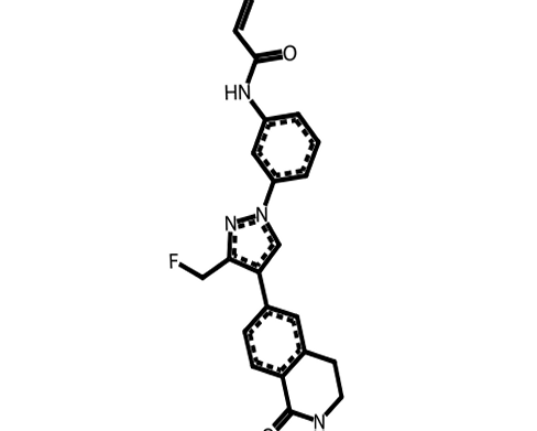 C=CC(=O)Nc1cccc(-n2cc(-c3ccc4c(c3)CCNC4=O)c(CF)n2)c1